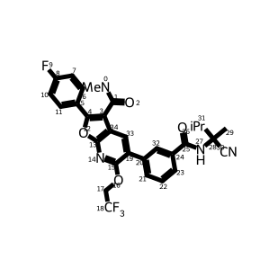 CNC(=O)c1c(-c2ccc(F)cc2)oc2nc(OCC(F)(F)F)c(-c3cccc(C(=O)NC(C)(C#N)C(C)C)c3)cc12